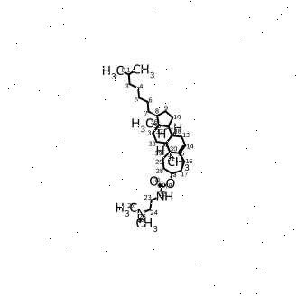 CC(C)CCCCC[C@H]1CC[C@H]2[C@@H]3CC=C4CC[C@@H](OC(=O)NCCN(C)C)CC[C@]4(C)[C@H]3CC[C@]12C